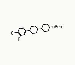 CCCCC[C@H]1CC[C@H](C2CCC(c3ccc(Cl)c(F)c3)CC2)CC1